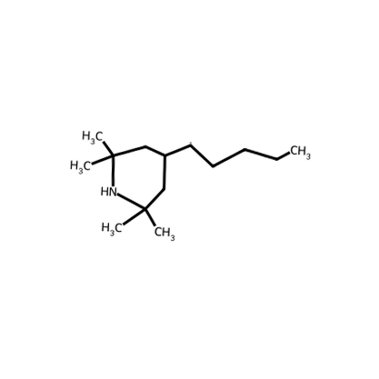 CCCC[CH]C1CC(C)(C)NC(C)(C)C1